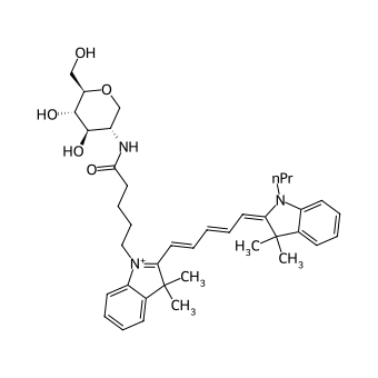 CCCN1/C(=C/C=C/C=C/C2=[N+](CCCCC(=O)N[C@H]3CO[C@H](CO)[C@@H](O)[C@@H]3O)c3ccccc3C2(C)C)C(C)(C)c2ccccc21